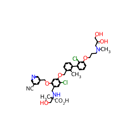 Cc1c(COc2cc(OCc3cncc(C#N)c3)c(CN[C@](C)(CO)C(=O)O)cc2Cl)cccc1-c1cccc(OCCCN(C)C[C@H](O)CO)c1Cl